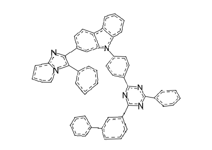 c1ccc(-c2cccc(-c3nc(-c4ccccc4)nc(-c4ccc(-n5c6ccccc6c6ccc(-c7nc8ccccn8c7-c7ccccc7)cc65)cc4)n3)c2)cc1